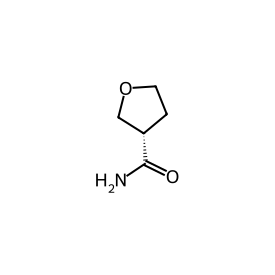 NC(=O)[C@H]1CCOC1